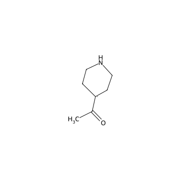 CC(=O)[C]1CCNCC1